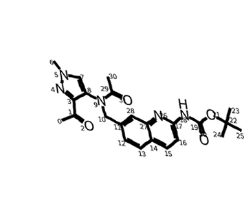 CC(=O)c1nn(C)cc1N(Cc1ccc2ccc(NC(=O)OC(C)(C)C)nc2c1)C(C)=O